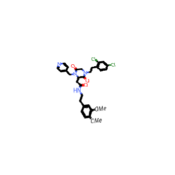 COc1ccc(CCNC(=O)CC2C(=O)N(CCc3ccc(Cl)cc3Cl)CC(=O)N2Cc2ccncc2)cc1OC